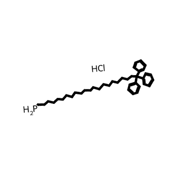 Cl.PCCCCCCCCCCCCCCCCCCCCCC(c1ccccc1)(c1ccccc1)c1ccccc1